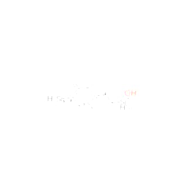 C[SiH](O)CCc1ccc([SiH3])cc1